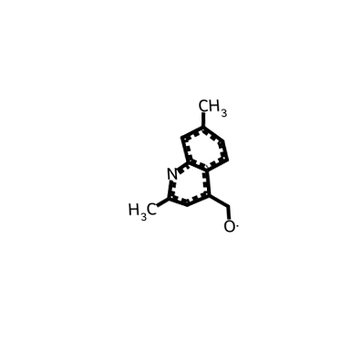 Cc1ccc2c(C[O])cc(C)nc2c1